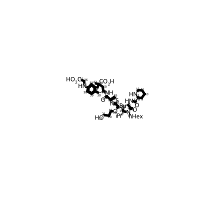 CCCCCCN(C(=O)[C@H](NC(=O)[C@@H]1CCCCN1)[C@H](C)CC)[C@@H](C[C@H](OCCCO)c1nc(C(=O)N[C@H](Cc2ccc(NCC(=O)O)cc2)CC(C)(C)C(=O)O)cs1)C(C)C